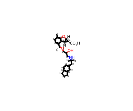 Cc1ccc([C@@H](C)OCC(O)CNC(C)(C)Cc2ccc3c(c2)CCC3)c2c1O[C@H]1[C@H](C(=O)O)[C@@H]21